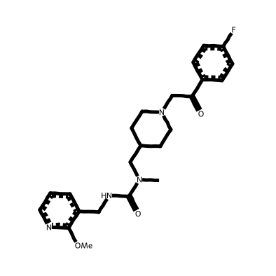 COc1ncccc1CNC(=O)N(C)CC1CCN(CC(=O)c2ccc(F)cc2)CC1